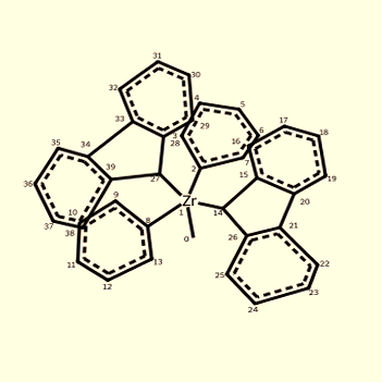 [CH3][Zr]([c]1ccccc1)([c]1ccccc1)([CH]1c2ccccc2-c2ccccc21)[CH]1c2ccccc2-c2ccccc21